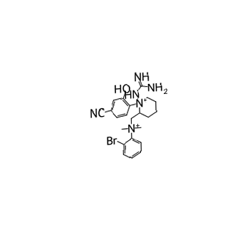 C[N+](C)(CC1CCCC[N+]1(NC(=N)N)c1ccc(C#N)cc1O)c1ccccc1Br